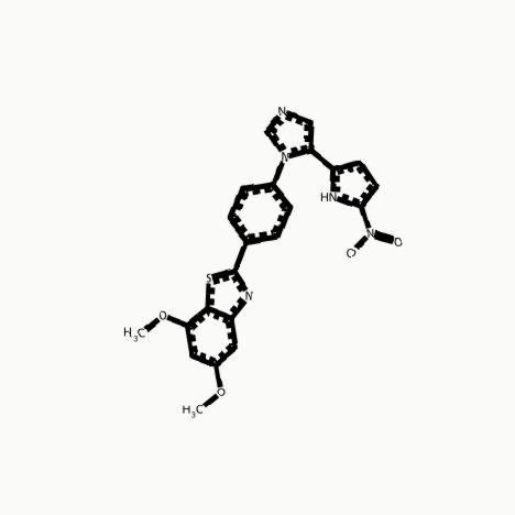 COc1cc(OC)c2sc(-c3ccc(-n4cncc4-c4ccc([N+](=O)[O-])[nH]4)cc3)nc2c1